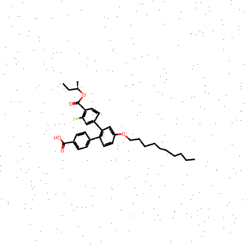 CCCCCCCCCCOc1ccc(-c2ccc(C(=O)O)cc2)c(-c2ccc(C(=O)O[C@H](C)CC)c(F)c2)c1